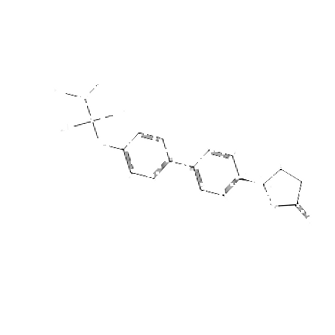 O=C1CC[C@H](c2ccc(-c3ccc(OC(F)(F)C(F)F)cc3)cc2)N1